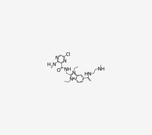 C=C(NCCNC)c1ccc2c(c1)n(CC)c(CNC(=O)c1nc(Cl)cnc1N)[n+]2CC